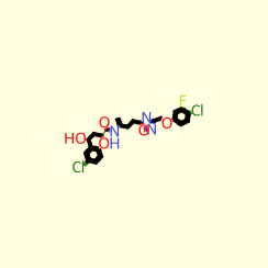 C=C(CCc1nc(COc2ccc(Cl)c(F)c2)no1)NC(=O)[C@H]1C[C@@H](O)c2cc(Cl)ccc2O1